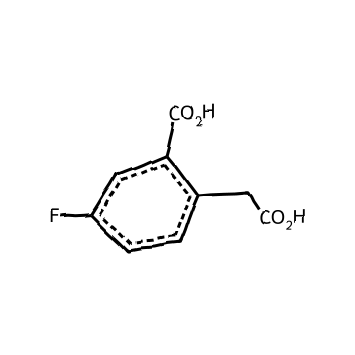 O=C(O)Cc1ccc(F)cc1C(=O)O